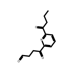 CCCC(=O)c1cccc(C(=O)CCC=O)n1